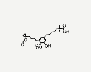 CC(C)(CCCCCc1cc(O)c(O)c(CCCCC2(OC=O)CC2)c1)C(=O)O